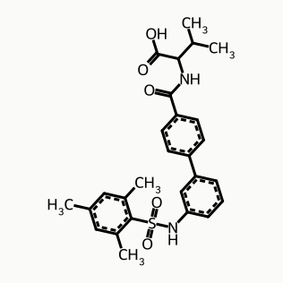 Cc1cc(C)c(S(=O)(=O)Nc2cccc(-c3ccc(C(=O)NC(C(=O)O)C(C)C)cc3)c2)c(C)c1